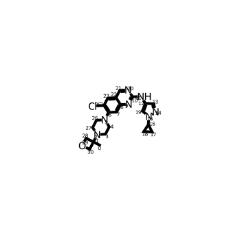 CC1(N2CCN(c3cc4nc(Nc5cnn(C6CC6)c5)ncc4cc3Cl)CC2)COC1